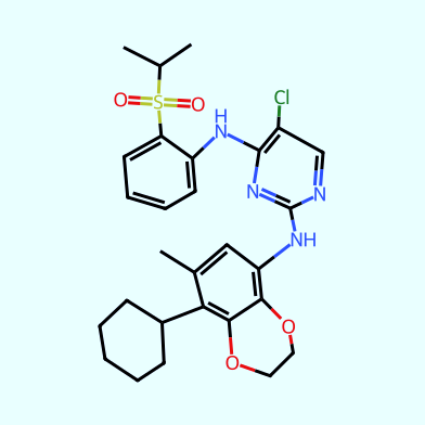 Cc1cc(Nc2ncc(Cl)c(Nc3ccccc3S(=O)(=O)C(C)C)n2)c2c(c1C1CCCCC1)OCCO2